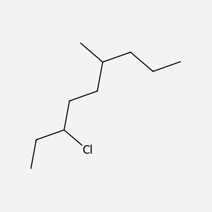 CCCC(C)CCC(Cl)CC